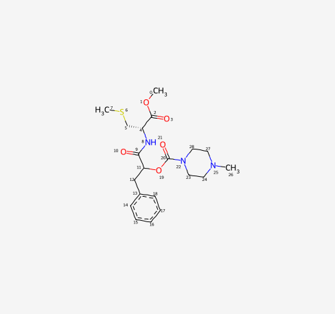 COC(=O)[C@@H](CSC)NC(=O)C(Cc1ccccc1)OC(=O)N1CCN(C)CC1